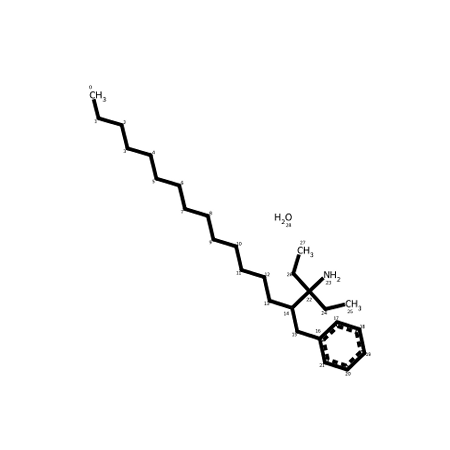 CCCCCCCCCCCCCCC(Cc1ccccc1)C(N)(CC)CC.O